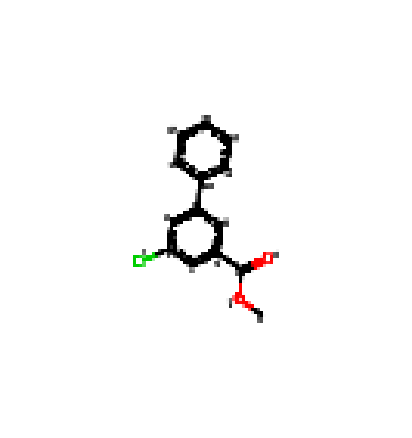 COC(=O)c1cc(Cl)cc(-c2ccccc2)c1